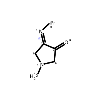 CC(C)/N=C1/CN(P)CC1=O